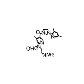 CNCCN(C=O)c1cc(C)c(C(=O)N2CCN(c3ncc(C)cc3C)C2)cn1